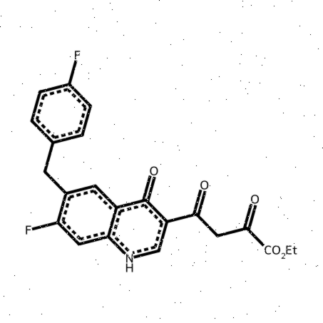 CCOC(=O)C(=O)CC(=O)c1c[nH]c2cc(F)c(Cc3ccc(F)cc3)cc2c1=O